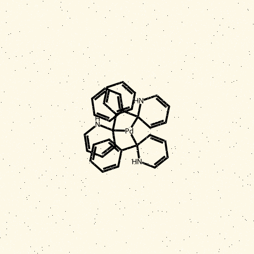 C1=CN[C](c2ccccc2)([Pd]([C]2(c3ccccc3)C=CC=CN2)[C]2(c3ccccc3)C=CC=CN2)C=C1